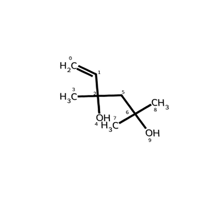 C=CC(C)(O)CC(C)(C)O